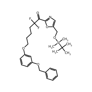 CC(C)(C)[Si](C)(C)OCc1cnc(C(=O)C(F)(F)CCCCOc2cccc(OCc3ccccc3)c2)o1